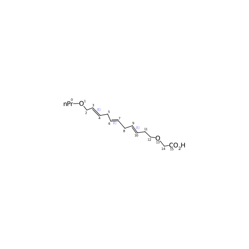 CCCOC/C=C/C/C=C/C/C=C/CCOCC(=O)O